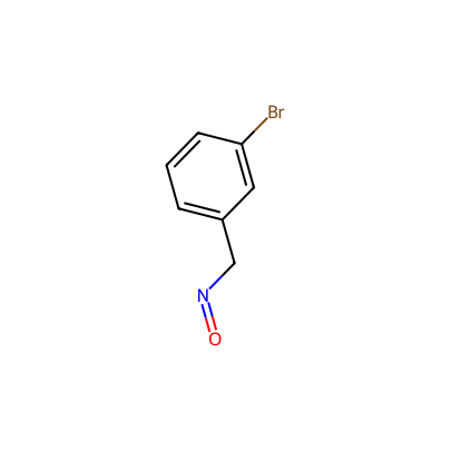 O=NCc1cccc(Br)c1